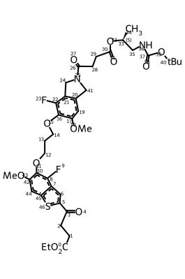 CCOC(=O)CCC(=O)c1cc2c(F)c(OCCCOc3c(OC)cc4c(c3F)CN(C(=O)CCC(=O)O[C@@H](C)CNC(=O)OC(C)(C)C)C4)c(OC)cc2s1